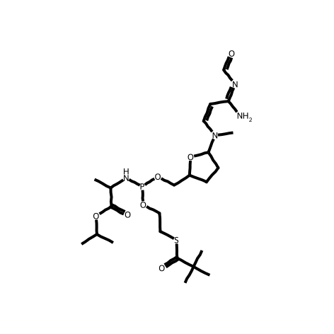 CC(C)OC(=O)C(C)NP(OCCSC(=O)C(C)(C)C)OCC1CCC(N(C)/C=C\C(N)=N/C=O)O1